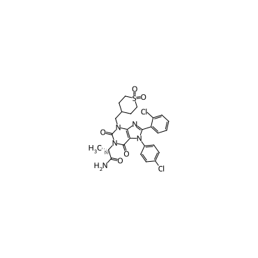 C[C@@H](C(N)=O)n1c(=O)c2c(nc(-c3ccccc3Cl)n2-c2ccc(Cl)cc2)n(CC2CCS(=O)(=O)CC2)c1=O